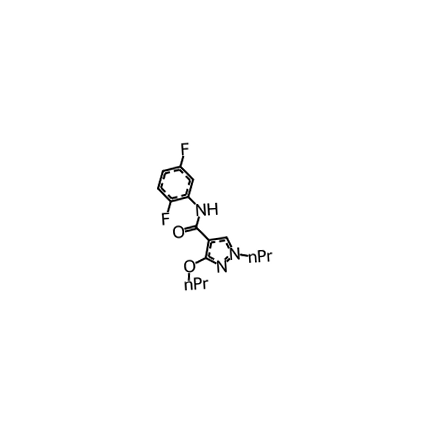 CCCOc1nn(CCC)cc1C(=O)Nc1cc(F)ccc1F